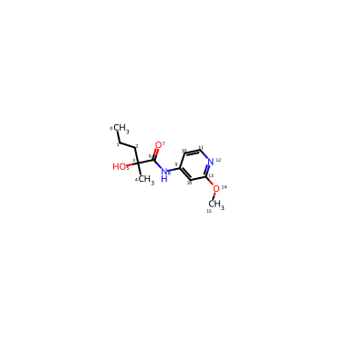 CCCC(C)(O)C(=O)Nc1ccnc(OC)c1